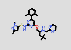 Cc1cc(SNc2nc(OCC(CC(C)(C)C)NCc3ncccn3)cc(-c3c(C)cccc3C)n2)n(C)n1